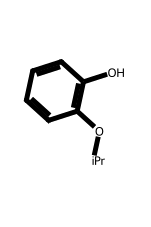 CC(C)Oc1[c]cccc1O